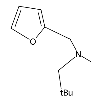 CN(Cc1ccco1)CC(C)(C)C